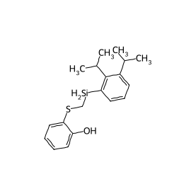 CC(C)c1cccc([SiH2]CSc2ccccc2O)c1C(C)C